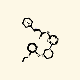 CCOc1ccccc1O[C@@H]1CCCN(c2cncc(NC(=O)/C=C/C34CCC(CC3)CC4)n2)C1